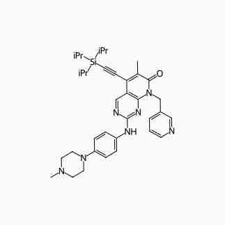 Cc1c(C#C[Si](C(C)C)(C(C)C)C(C)C)c2cnc(Nc3ccc(N4CCN(C)CC4)cc3)nc2n(Cc2cccnc2)c1=O